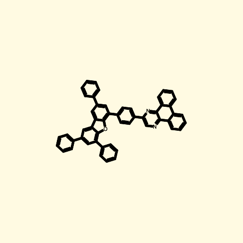 c1ccc(-c2cc(-c3ccccc3)c3oc4c(-c5ccc(-c6cnc7c8ccccc8c8ccccc8c7n6)cc5)cc(-c5ccccc5)cc4c3c2)cc1